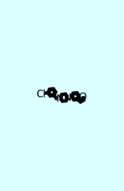 Clc1cccc(CN2CCN(c3ccc4occc4c3)CC2)c1